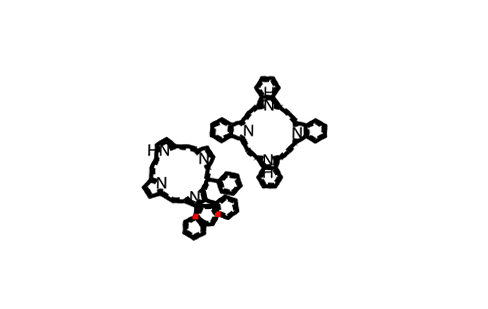 C1=Cc2cc3c(-c4ccccc4)c(-c4ccccc4)c(c(-c4ccccc4)c4nc(cc5ccc(cc1n2)[nH]5)C=C4)n3-c1ccccc1.c1ccc2c(c1)-c1cc3[nH]c(cc4nc(cc5[nH]c(cc-2n1)c1ccccc51)-c1ccccc1-4)c1ccccc31